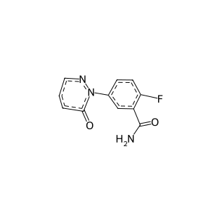 NC(=O)c1cc(-n2ncccc2=O)ccc1F